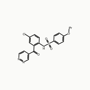 CC(C)Oc1ccc(S(=O)(=O)Nc2ccc(Cl)cc2C(=O)c2ccnnc2)cc1